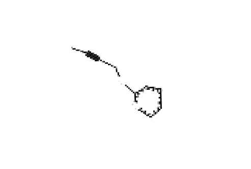 CC#CCOc1c[c]ccn1